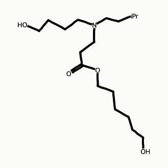 CC(C)CCN(CCCCO)CCC(=O)OCCCCCCO